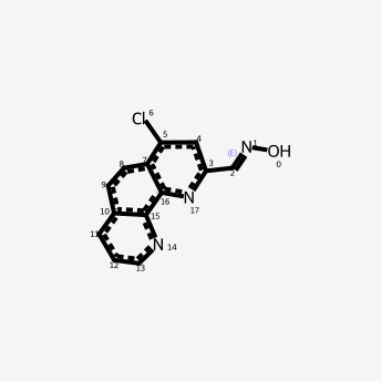 O/N=C/c1cc(Cl)c2ccc3cccnc3c2n1